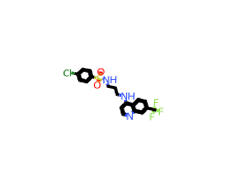 O=S(=O)(NCCCNc1ccnc2cc(C(F)(F)F)ccc12)c1ccc(Cl)cc1